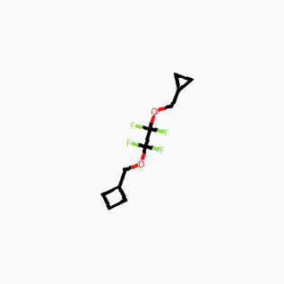 FC(F)(OCC1CCC1)C(F)(F)OCC1CC1